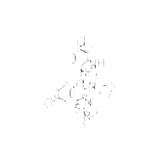 CO[C@@H]1C[C@@H](c2nc3ccc(Cl)c(C)c3[nH]2)N(C(=O)c2nc(N(C)C)sc2-c2cccc(Cl)c2)C1